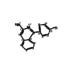 CCCc1cc2ccccc2c(-c2ccc(C)cc2)n1